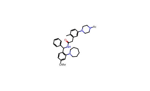 COc1ccc(C(NC(=O)Cc2cc(N3CCN(C(C)=O)CC3)ccc2C)c2ccccc2)c(N2CCCCCC2)c1